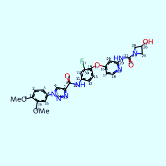 COc1ccc(-n2cc(C(=O)Nc3ccc(Oc4ccnc(NC(=O)N5CC(O)C5)c4)c(F)c3)nn2)cc1OC